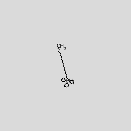 CCCCCCCCCCCCCCCCCCC[PH](c1ccccc1)(c1ccccc1)c1ccccc1